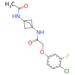 CC(=O)NC12CC(NC(=O)COc3ccc(Cl)c(F)c3)(C1)C2